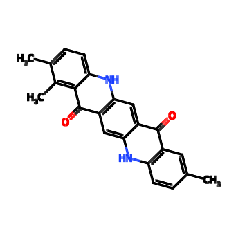 Cc1ccc2[nH]c3cc4c(=O)c5c(C)c(C)ccc5[nH]c4cc3c(=O)c2c1